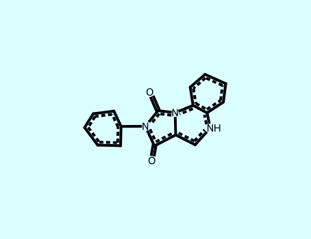 O=c1c2c[nH]c3ccccc3n-2c(=O)n1-c1ccccc1